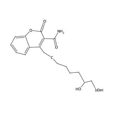 CCCCCCCCCCCC(O)CCCCCCc1c(C(N)=O)c(=O)oc2ccccc12